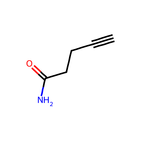 C#CCCC(N)=O